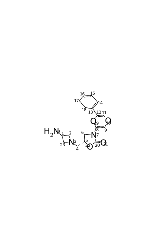 NC1CN(C[C@@H]2CN(C3=COC=C(C4=CC=CCC4)O3)C(=O)O2)C1